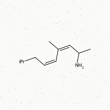 CC(/C=C\CC(C)C)=C/C(C)N